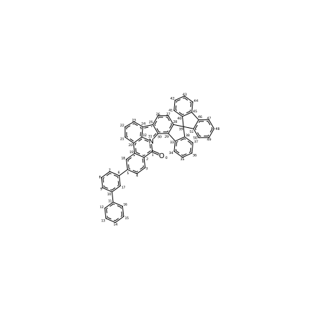 O=c1c2ccc(-c3cccc(-c4ccccc4)c3)cc2c2cccc3c4ccc5c(c4n1c23)-c1ccccc1C51c2ccccc2-c2ccccc21